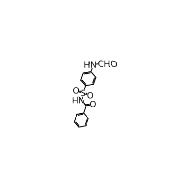 O=CNc1ccc(S(=O)(=O)NC(=O)c2ccccc2)cc1